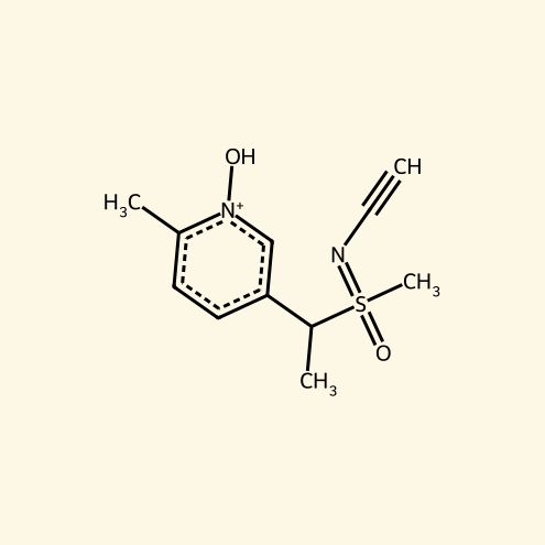 C#CN=S(C)(=O)C(C)c1ccc(C)[n+](O)c1